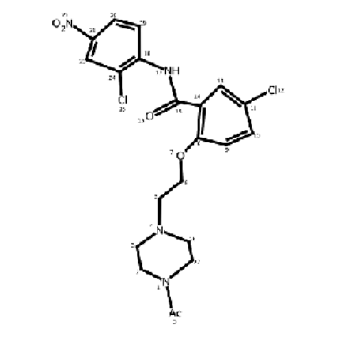 CC(=O)N1CCN(CCOc2ccc(Cl)cc2C(=O)Nc2ccc([N+](=O)[O-])cc2Cl)CC1